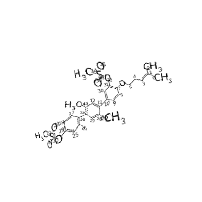 CC(C)=CCCOc1ccc(-c2cc(C)c(-c3ccc(OS(C)(=O)=O)cc3)cc2C)cc1OS(C)(=O)=O